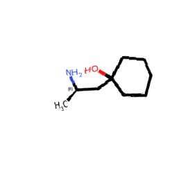 C[C@@H](N)CC1(O)CCCCC1